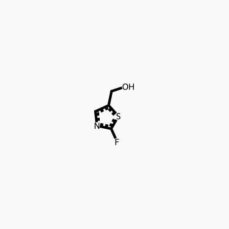 OCc1cnc(F)s1